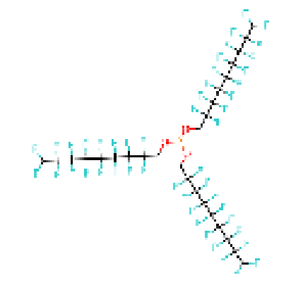 FC(F)C(F)(F)C(F)(F)C(F)(F)C(F)(F)C(F)(F)C(F)(F)C(F)(F)COP(OCC(F)(F)C(F)(F)C(F)(F)C(F)(F)C(F)(F)C(F)(F)C(F)(F)C(F)F)OCC(F)(F)C(F)(F)C(F)(F)C(F)(F)C(F)(F)C(F)(F)C(F)(F)C(F)F